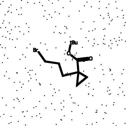 CC(C)(C)OC(=O)C1(CCCBr)CC1